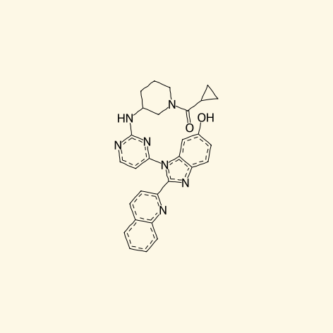 O=C(C1CC1)N1CCCC(Nc2nccc(-n3c(-c4ccc5ccccc5n4)nc4ccc(O)cc43)n2)C1